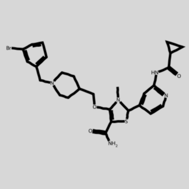 CN1C(OCC2CCN(Cc3cccc(Br)c3)CC2)=C(C(N)=O)SC1c1ccnc(NC(=O)C2CC2)c1